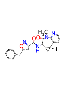 CN1C(=O)[C@@H](NC(=O)c2cc(Cc3ccccc3)on2)C2C[C@H]2c2cccnc21